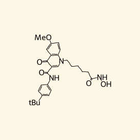 COc1ccc2c(c1)c(=O)c(C(=O)Nc1ccc(C(C)(C)C)cc1)cn2CCCCCC(=O)NO